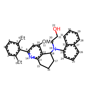 CCc1cccc(CC)c1-c1cc(OC)c2c(n1)CCCC2N(CCO)c1cccc2ccccc12